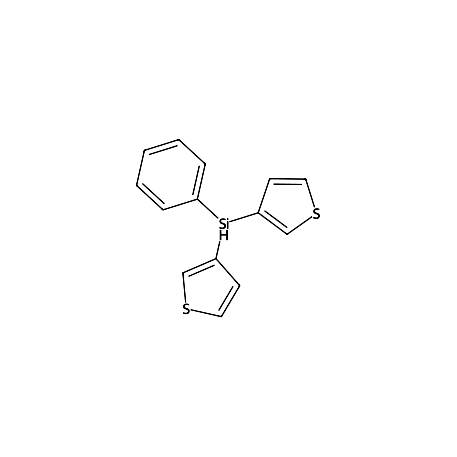 c1ccc([SiH](c2ccsc2)c2ccsc2)cc1